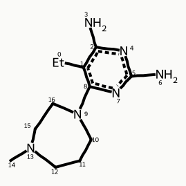 CCc1c(N)nc(N)nc1N1CCCN(C)CC1